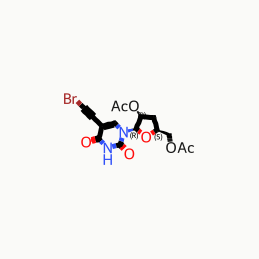 CC(=O)OC[C@@H]1C[C@@H](OC(C)=O)[C@H](n2cc(C#CBr)c(=O)[nH]c2=O)O1